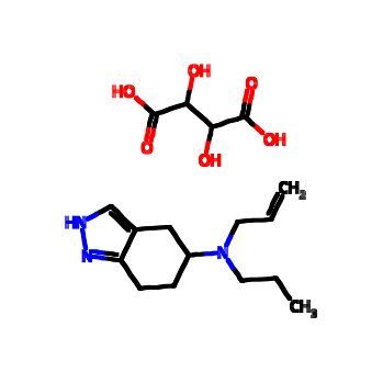 C=CCN(CCC)C1CCc2n[nH]cc2C1.O=C(O)C(O)C(O)C(=O)O